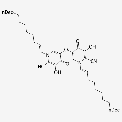 CCCCCCCCCCCCCCCCC=Cn1cc(Oc2cn(C=CCCCCCCCCCCCCCCCC)c(C#N)c(O)c2=O)c(=O)c(O)c1C#N